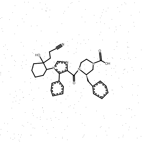 N#CCCC1(O)CCCCC1n1cnc(C(=O)N2CCN(C(=O)O)C[C@H]2Cc2ccccc2)c1-c1ccccc1